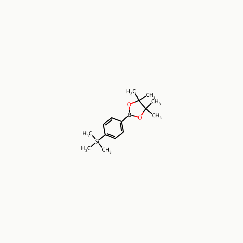 CC1(C)OB(c2ccc([Si](C)(C)C)cc2)OC1(C)C